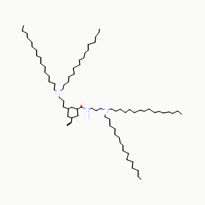 C=CC1CC(CCCN(CCCCCCCCCCCCCCCC)CCCCCCCCCCCCCCCC)CC(C(=O)NCCCN(CCCCCCCCCCCCCCCC)CCCCCCCCCCCCCCCC)C1